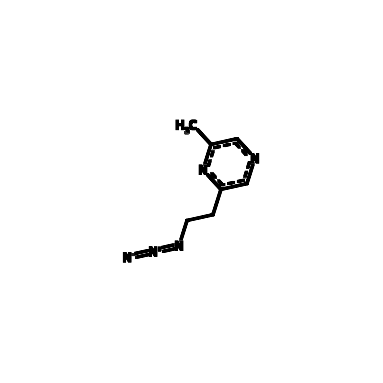 Cc1cncc(CCN=[N+]=[N-])n1